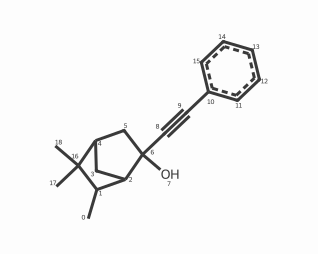 CC1C2CC(CC2(O)C#Cc2ccccc2)C1(C)C